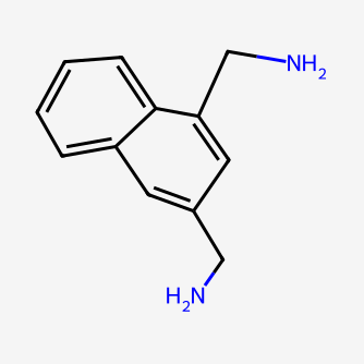 NCc1cc(CN)c2ccccc2c1